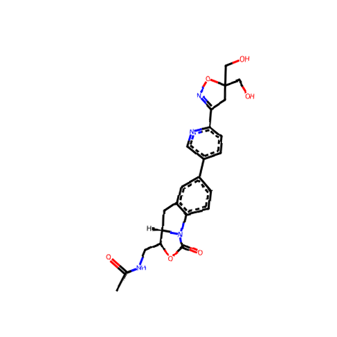 CC(=O)NCC1OC(=O)N2c3ccc(-c4ccc(C5=NOC(CO)(CO)C5)nc4)cc3C[C@@H]12